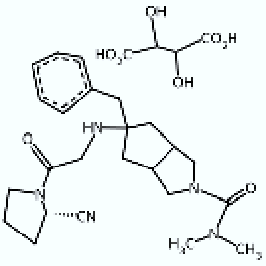 CN(C)C(=O)N1CC2CC(Cc3ccccc3)(NCC(=O)N3CCC[C@H]3C#N)CC2C1.O=C(O)C(O)C(O)C(=O)O